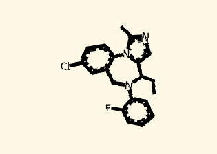 CCC1c2cnc(C)n2-c2ccc(Cl)cc2CN1c1ccccc1F